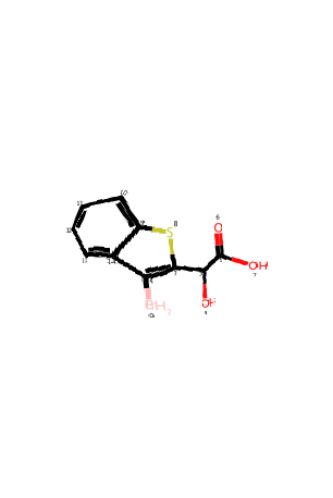 Bc1c(C(O)C(=O)O)sc2ccccc12